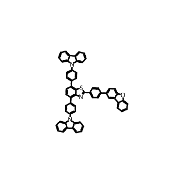 c1ccc2c(c1)oc1ccc(-c3ccc(-c4nc5c(-c6ccc(-n7c8ccccc8c8ccccc87)cc6)ccc(-c6ccc(-n7c8ccccc8c8ccccc87)cc6)c5s4)cc3)cc12